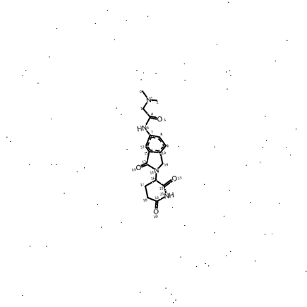 CN(C)CC(=O)Nc1ccc2c(c1)C(=O)N(C1CCC(=O)NC1=O)C2